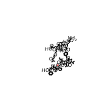 CC[C@H](C)[C@@H]([C@@H](CC(=O)N1CCC[C@H]1[C@H](OC)[C@@H](C)C(=O)N[C@H](C)[C@@H](O)c1ccccc1)OC)N(C)C(=O)[C@@H](NC(=O)[C@H](C(C)C)N(C)C(=O)OCc1ccc(NC(=O)[C@H](CCCNC(N)=O)NC(=O)[C@@H](NC(=O)[C@H](CCC(=O)O)NC(=O)CCOCCC(=O)C(C)C)C(C)C)cc1)C(C)C